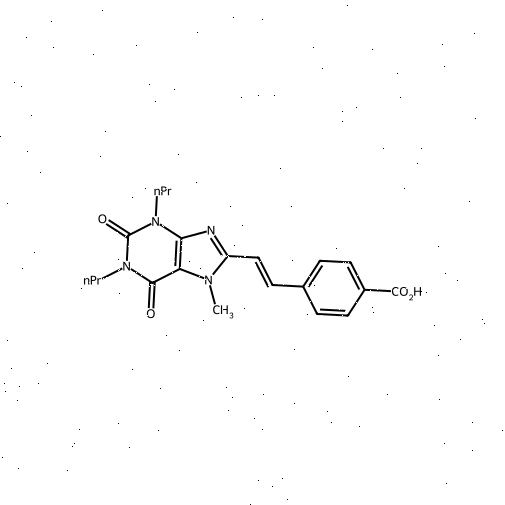 CCCn1c(=O)c2c(nc(C=Cc3ccc(C(=O)O)cc3)n2C)n(CCC)c1=O